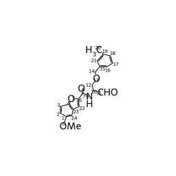 COc1ccc2oc(C(=O)NC(C=O)COCc3cccc(C)c3)cc2c1